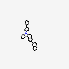 c1ccc(-c2ccc(-n3c4ccccc4c4c5ccc(-c6ccc7ccccc7c6)cc5ccc43)cc2)cc1